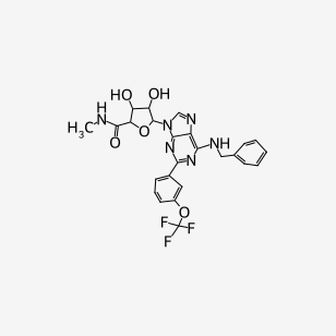 CNC(=O)C1OC(n2cnc3c(NCc4ccccc4)nc(-c4cccc(OC(F)(F)F)c4)nc32)C(O)C1O